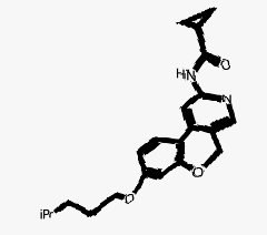 CC(C)CCCOc1ccc2c(c1)OCc1cnc(NC(=O)C3CC3)cc1-2